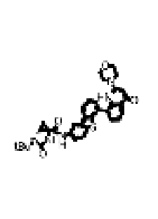 CC(C)(C)OC(=O)NC1(C(=O)Nc2ccc3sc4c(-c5cccc6c(=O)cc(N7CCOCC7)[nH]c56)cccc4c3c2)CC1